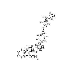 CC(OC1CCCCO1)c1nccn1Cc1cc(-c2ccc(C#CC3CC(NC4COC4)C3)cc2)on1